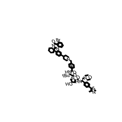 Cc1ncsc1-c1ccc([C@H](CN2CCOCC2)NC(=O)[C@@H]2C[C@@H](O)CN2C(=O)[C@@H](NC(=O)C23CCC(CN4CCC(c5ccc6c(c5)-n5c(nc(=O)c7c(Br)cccc75)C65CCCCC5)CC4)(CC2)CC3)C(C)(C)C)cc1